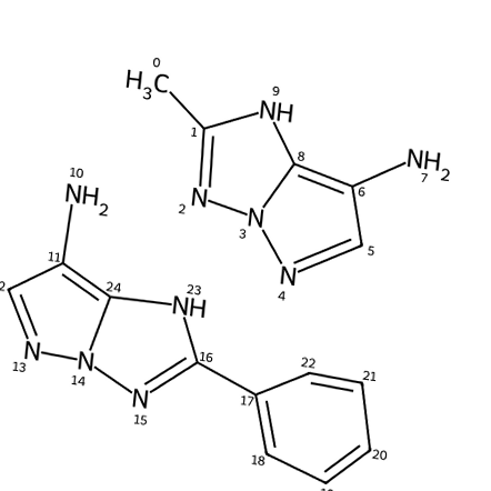 Cc1nn2ncc(N)c2[nH]1.Nc1cnn2nc(-c3ccccc3)[nH]c12